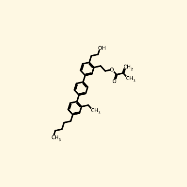 C=C(C)C(=O)OCCc1cc(-c2ccc(-c3ccc(CCCCC)cc3CC)cc2)ccc1CCO